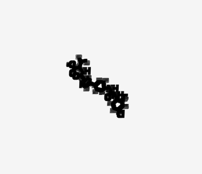 COC(=O)[C@@H](NC(=O)c1ncc(-c2ccc(NC(=O)Nc3ccc(Cl)cc3F)cc2)s1)C(C)C